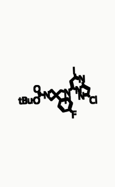 CC(C)(C)OC(=O)N1CC(CNc2cc(I)nc3cc(Cl)nn23)(c2ccc(F)cc2)C1